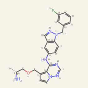 C[C@@H](N)COCc1ccn2ncnc(Nc3ccc4c(cnn4Cc4cccc(F)c4)c3)c12